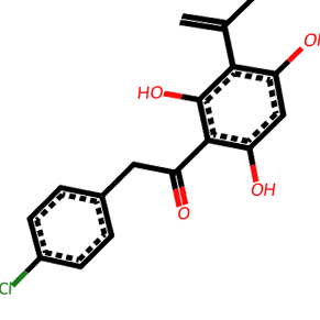 C=C(C)c1c(O)cc(O)c(C(=O)Cc2ccc(Cl)cc2)c1O